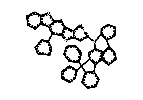 c1ccc(-c2ccccc2N(c2ccc3c(c2)C(c2ccccc2)(c2ccccc2)c2ccccc2-3)c2ccc3c(c2)oc2c(-c4ccccc4)c4c(cc23)oc2ccccc24)cc1